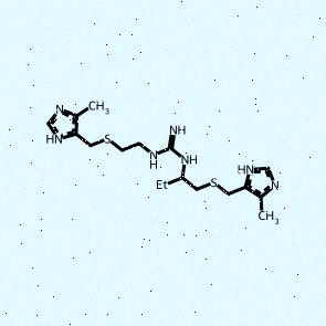 CCC(CSCc1[nH]cnc1C)NC(=N)NCCSCc1[nH]cnc1C